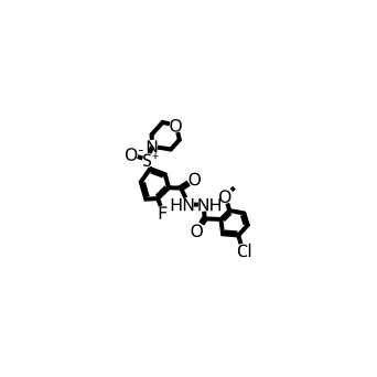 COc1ccc(Cl)cc1C(=O)NNC(=O)c1cc([S+]([O-])N2CCOCC2)ccc1F